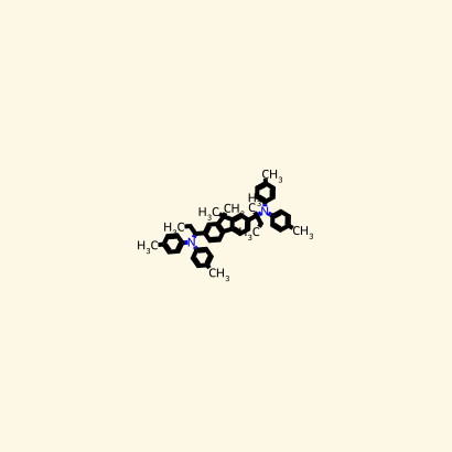 CCC(c1ccc2c(c1)C(C)(C)c1cc(C(C)(CC)N(c3ccc(C)cc3)c3ccc(C)cc3)ccc1-2)N(c1ccc(C)cc1)c1ccc(C)cc1